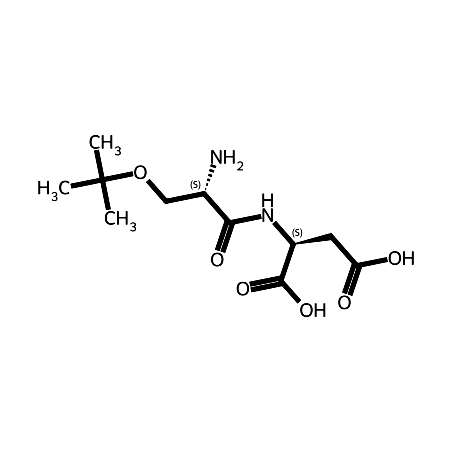 CC(C)(C)OC[C@H](N)C(=O)N[C@@H](CC(=O)O)C(=O)O